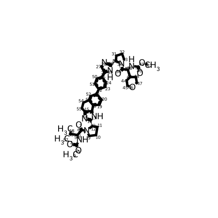 COC(=O)N[C@H](C(=O)N1CCC[C@H]1c1nc2c([nH]1)-c1ccc(-c3ccc(-c4cnc([C@@H]5CCCN5C(=O)[C@@H](NC(=O)OC)C5CCOCC5)[nH]4)cc3)cc1CC2)C(C)C